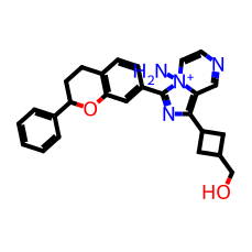 N[N+]12C=CN=CC1=C(C1CC(CO)C1)N=C2c1ccc2c(c1)OC(c1ccccc1)CC2